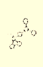 CCCCCCc1nc2c3ccccc3c3ccccc3c2n1-c1ccc(-c2nc(-c3ccccc3)nc(-c3ccccc3)n2)cc1